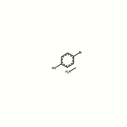 CN.Oc1ccc(Br)cc1